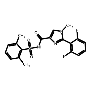 Cc1cccc(C)c1S(=O)(=O)NC(=O)c1cn(C)c(-c2c(F)cccc2F)n1